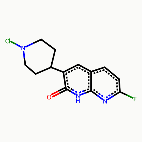 O=c1[nH]c2nc(F)ccc2cc1C1CCN(Cl)CC1